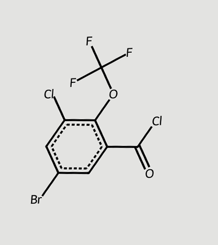 O=C(Cl)c1cc(Br)cc(Cl)c1OC(F)(F)F